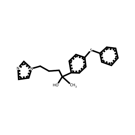 CC(O)(CCCn1ccnc1)c1ccc(Sc2ccccc2)cc1